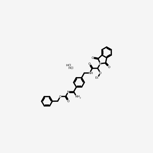 CCOC(C(=O)NCc1ccc(/C(N)=N/C(=O)OCc2ccccc2)cc1)N1C(=O)c2ccccc2C1=O.Cl.Cl